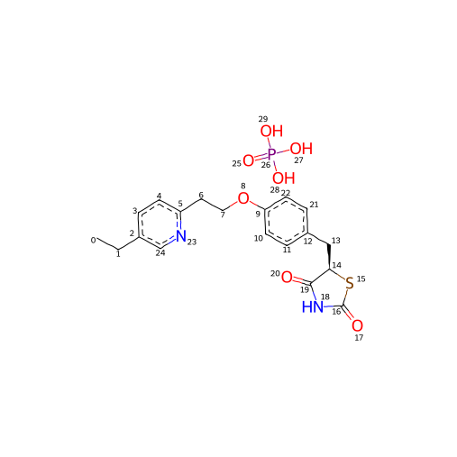 CCc1ccc(CCOc2ccc(C[C@H]3SC(=O)NC3=O)cc2)nc1.O=P(O)(O)O